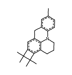 Cc1ccc2c(c1)Cc1cc3c(c4c1N2CCC4)C(C)(C)C3(C)C